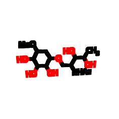 COC1CC(OCC(NC(C)=O)C(O)C(C)O)C(O)C(O)C1O